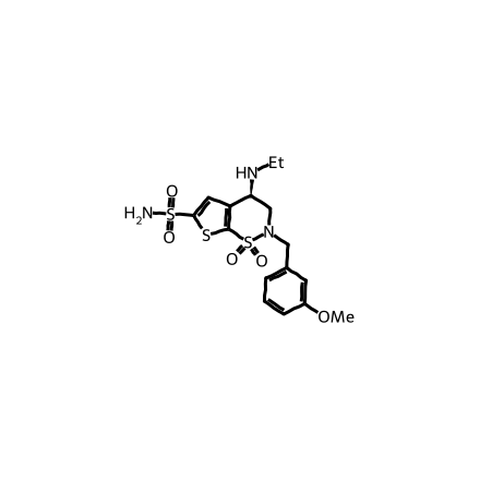 CCN[C@H]1CN(Cc2cccc(OC)c2)S(=O)(=O)c2sc(S(N)(=O)=O)cc21